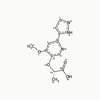 COc1cc(-c2ccn[nH]2)ncc1O[C@@H](C)C(=O)O